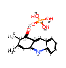 CC1=Cc2nc3ccccc3cc2C(=O)C1C.O=P(O)(O)O